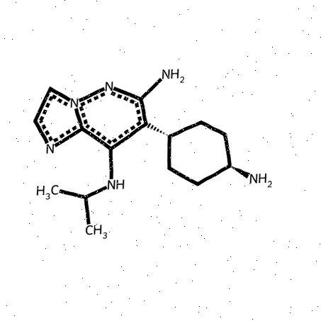 CC(C)Nc1c2nccn2nc(N)c1[C@H]1CC[C@H](N)CC1